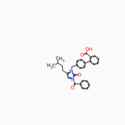 CC(C)CCc1cn(C(=O)c2ccccc2)c(=O)n1Cc1ccc(-c2ccccc2C(=O)O)cc1